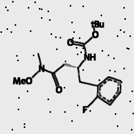 CON(C)C(=O)C[C@@H](Cc1ccccc1F)NC(=O)OC(C)(C)C